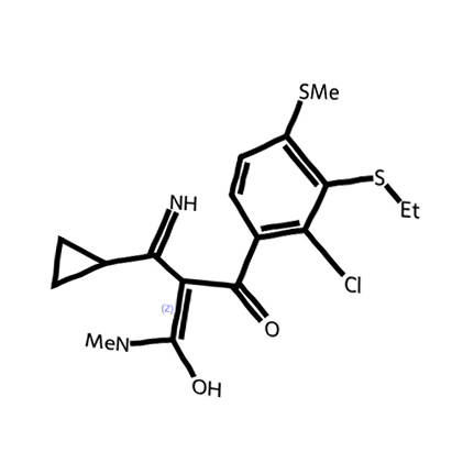 CCSc1c(SC)ccc(C(=O)/C(C(=N)C2CC2)=C(\O)NC)c1Cl